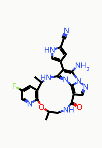 CC1CNC(=O)c2cnn3c(N)c(-c4c[nH]c(C#N)c4)c(nc23)NC(C)c2cc(F)cnc2O1